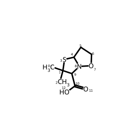 CC1(C)SC2CCON2C1C(=O)O